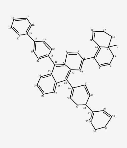 CC12CC=CC(c3ccc4c(-c5ccc(-c6ccccn6)cc5)c5ccccc5c(C5=CCC(C6=NCCC=C6)C=C5)c4c3)=C1C=CCC2